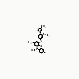 COc1cc(Oc2cc(C)cn(C(C)c3ccc(F)cc3)c2=O)ccc1-n1cnc(C)c1